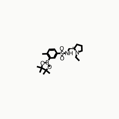 CCN1CCC[C@@H]1CNS(=O)(=O)c1ccc(C)c(B2OC(C)(C)C(C)(C)O2)c1